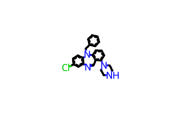 Clc1ccc2c(c1)N=Cc1c(N3CCNCC3)cccc1N2Cc1ccccc1